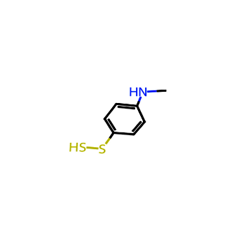 CNc1ccc(SS)cc1